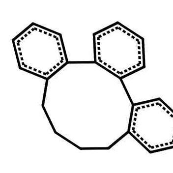 c1ccc2c(c1)CCCCc1ccccc1-c1ccccc1-2